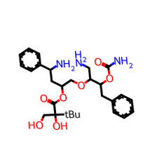 CC(C)(C)C(O)(CO)C(=O)OC(COC(CN)C(Cc1ccccc1)OC(N)=O)CC(N)c1ccccc1